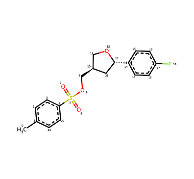 Cc1ccc(S(=O)(=O)OC[C@H]2CO[C@H](c3ccc(F)cc3)C2)cc1